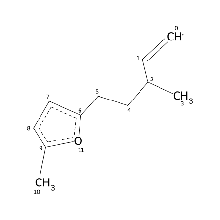 [CH]=CC(C)CCc1ccc(C)o1